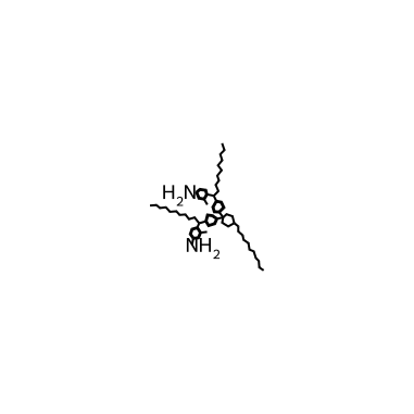 CCCCCCCCCCCC1CCC(c2ccc(C(CCCCCCCCCC)c3ccc(N)cc3C)cc2)(c2ccc(C(CCCCCCCCCC)c3ccc(N)cc3C)cc2)CC1